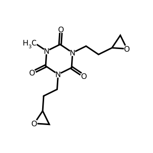 Cn1c(=O)n(CCC2CO2)c(=O)n(CCC2CO2)c1=O